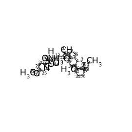 CC[C@H]1CC2C3CC[C@H]([C@H](C)CCC(=O)NS(=O)(=O)c4ccc(OC)cn4)[C@@]3(C)CCC2[C@@]2(C)CCCC[C@@H]12